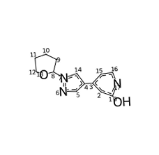 Oc1cc(-c2cnn(C3CCCCO3)c2)ccn1